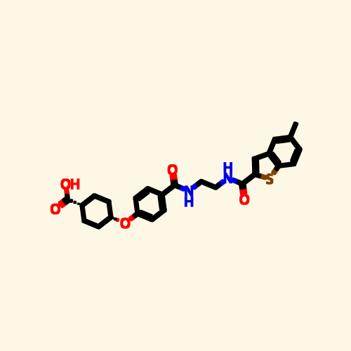 Cc1ccc2sc(C(=O)NCCNC(=O)c3ccc(O[C@H]4CC[C@@H](C(=O)O)CC4)cc3)cc2c1